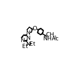 CCN(CC)c1nccc(N2CC[C@@H](Oc3ccc([C@H](C)NC(C)=O)cc3)C2)n1